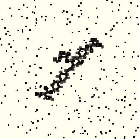 C=C(C)C(=O)Oc1ccc(-c2ccc(C#Cc3cc(F)c(-c4ccc(OC(=O)C(=C)C)cc4)cc3OC(=O)C(=C)C)cc2)cc1